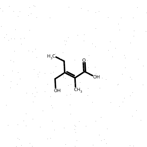 CCC(CO)=C(C)C(=O)O